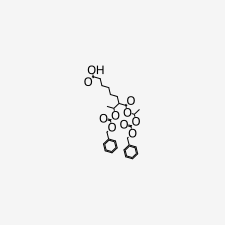 CC(OC(=O)OCc1ccccc1)OC(=O)C(CCCCCC(=O)O)C(C)OC(=O)OCc1ccccc1